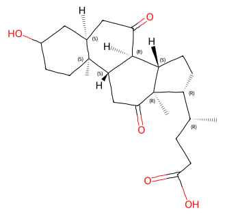 C[C@H](CCC(=O)O)[C@H]1CC[C@H]2[C@@H]3C(=O)C[C@@H]4CC(O)CC[C@]4(C)[C@H]3CC(=O)[C@]12C